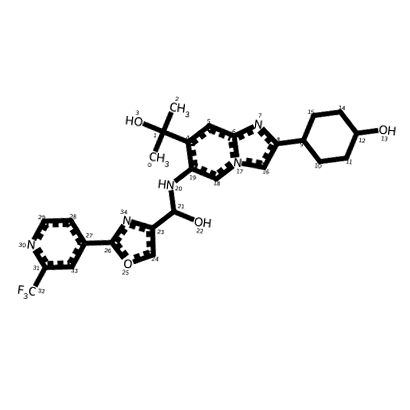 CC(C)(O)c1cc2nc(C3CCC(O)CC3)cn2cc1NC(O)c1coc(-c2ccnc(C(F)(F)F)c2)n1